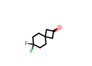 O=C1CC2(CCC(F)(F)CC2)C1